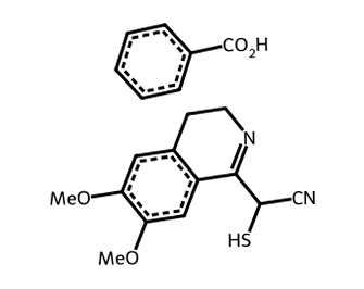 COc1cc2c(cc1OC)C(C(S)C#N)=NCC2.O=C(O)c1ccccc1